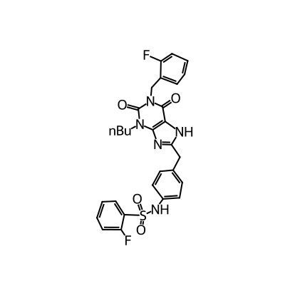 CCCCn1c(=O)n(Cc2ccccc2F)c(=O)c2[nH]c(Cc3ccc(NS(=O)(=O)c4ccccc4F)cc3)nc21